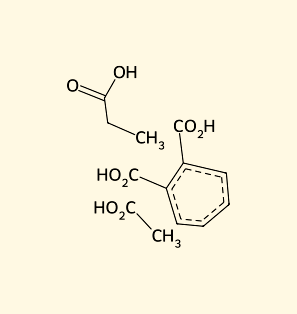 CC(=O)O.CCC(=O)O.O=C(O)c1ccccc1C(=O)O